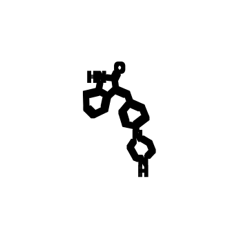 O=C1Nc2ccccc2/C1=C\c1ccc(N2CCNCC2)cc1